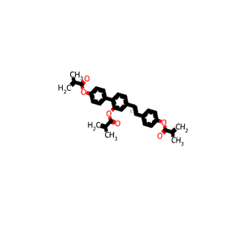 C=C(C)C(=O)Oc1ccc(/C=C/c2ccc(-c3ccc(OC(=O)C(=C)C)cc3)c(OC(=O)C(=C)C)c2)cc1